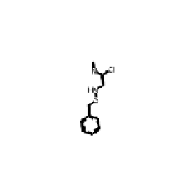 C=N/C(Cl)=C\NSCc1ccccc1